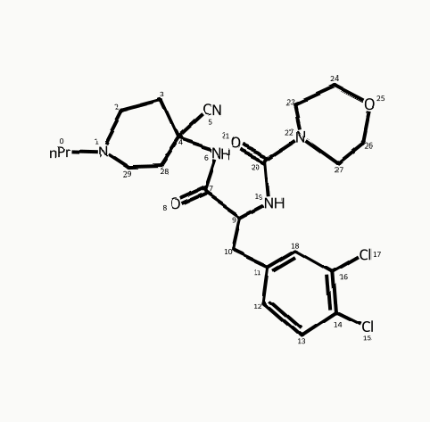 CCCN1CCC(C#N)(NC(=O)C(Cc2ccc(Cl)c(Cl)c2)NC(=O)N2CCOCC2)CC1